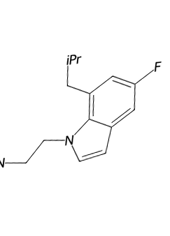 CC(C)Cc1cc(F)cc2ccn(CCN)c12